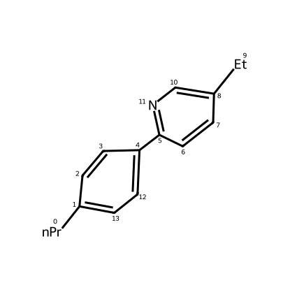 CCCc1ccc(-c2ccc(CC)cn2)cc1